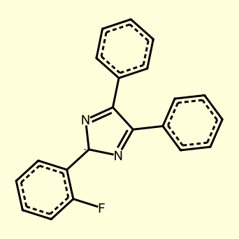 Fc1ccccc1[C]1N=C(c2ccccc2)C(c2ccccc2)=N1